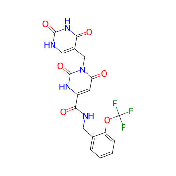 O=C(NCc1ccccc1OC(F)(F)F)c1cc(=O)n(Cc2c[nH]c(=O)[nH]c2=O)c(=O)[nH]1